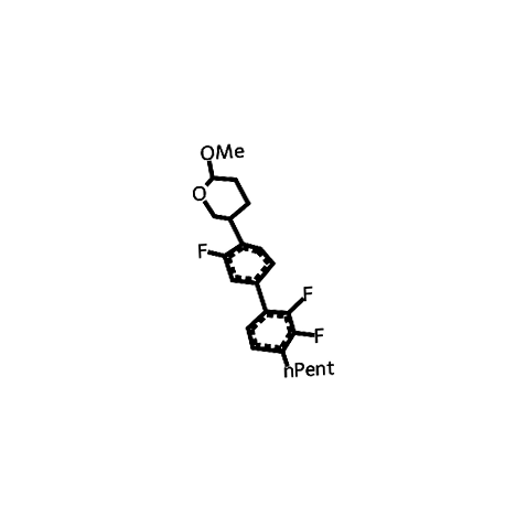 CCCCCc1ccc(-c2ccc(C3CCC(OC)OC3)c(F)c2)c(F)c1F